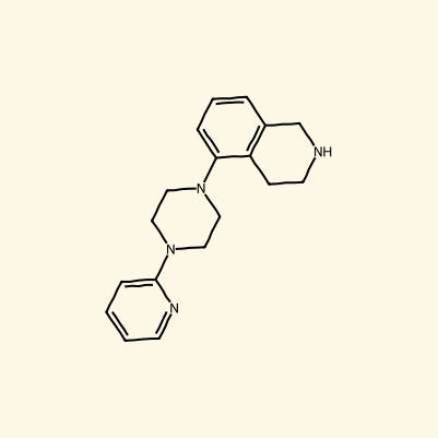 c1ccc(N2CCN(c3cccc4c3CCNC4)CC2)nc1